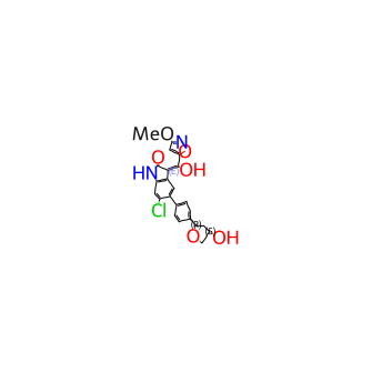 COc1cc(/C(O)=C2\C(=O)Nc3cc(Cl)c(-c4ccc([C@H]5C[C@H](O)CO5)cc4)cc32)on1